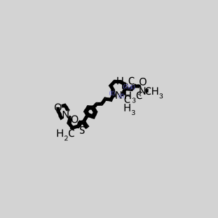 C=C1C=C(N2CCOCC2)Oc2c(-c3ccc(CCCCC4=C/CCC/C=C(/C=C(\C)C(=O)N(C)C)C(\C)=N/4)cc3)csc21